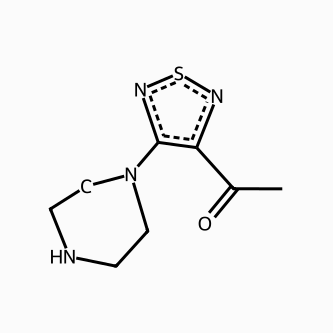 CC(=O)c1nsnc1N1CCNCC1